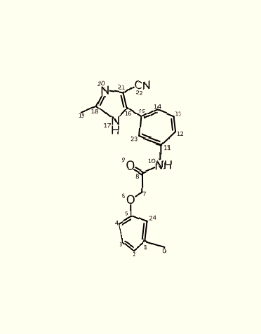 Cc1cccc(OCC(=O)Nc2cccc(-c3[nH]c(C)nc3C#N)c2)c1